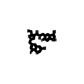 O=C(NCc1cc2c(Cl)c[nH]c2cc1F)c1cn(Cc2cc(F)c3ncc(Cl)cc3c2)nc1CF